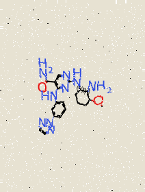 COC1CCC[C@@H](Nc2ncc(C(N)=O)c(Nc3cccc(-n4nccn4)c3)n2)[C@H]1N